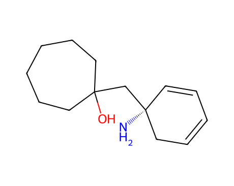 N[C@]1(CC2(O)CCCCCC2)C=CC=CC1